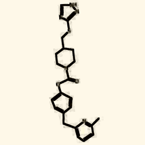 Cc1cccc(Cc2ccc(OC(=O)N3CCC(CSc4nc[nH]n4)CC3)cc2)n1